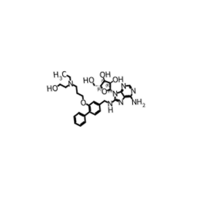 CCN(CCO)CCCOc1cc(CNc2nc3c(N)ncnc3n2[C@@H]2O[C@H](CO)[C@@H](O)[C@H]2O)ccc1-c1ccccc1